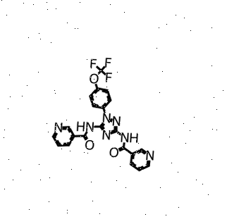 O=C(Nc1nc(NC(=O)c2cccnc2)n(-c2ccc(OC(F)(F)F)cc2)n1)c1cccnc1